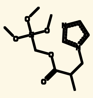 CO[Si](COC(=O)C(C)Cn1ccnc1)(OC)OC